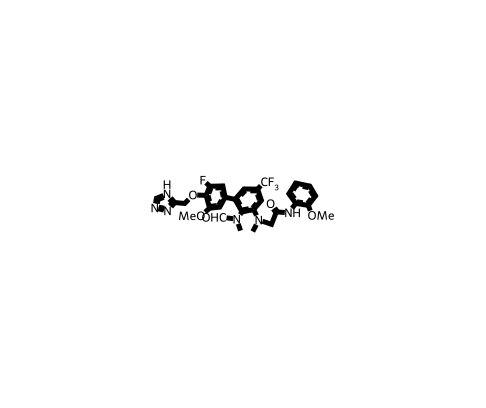 COc1ccccc1NC(=O)CN(C)c1cc(C(F)(F)F)cc(-c2cc(F)c(OCc3nnc[nH]3)c(OC)c2)c1N(C)C=O